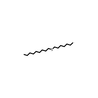 [CH2]CCCCCCSCCCCCCCCC